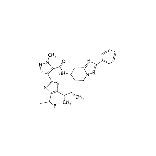 C=CC(C)c1sc(-c2cnn(C)c2C(=O)NC2CCn3nc(-c4ccccc4)nc3C2)nc1C(F)F